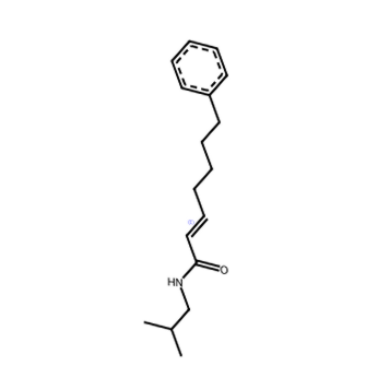 CC(C)CNC(=O)/C=C/CCCCc1ccccc1